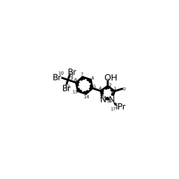 Cc1c(O)c(-c2ccc(C(Br)(Br)Br)cc2)nn1C(C)C